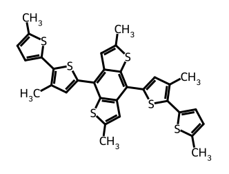 Cc1ccc(-c2sc(-c3c4cc(C)sc4c(-c4cc(C)c(-c5ccc(C)s5)s4)c4cc(C)sc34)cc2C)s1